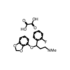 CNCCC(Oc1cccc2c1OCO2)c1ccccc1F.O=C(O)C(=O)O